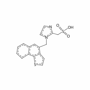 O=S(=O)(O)Cc1nccn1Cc1cc2ccccc2c2sccc12